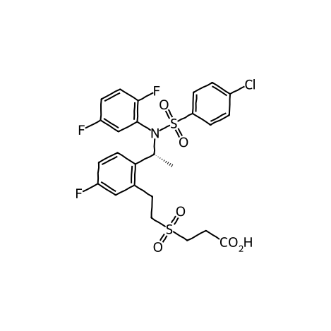 C[C@H](c1ccc(F)cc1CCS(=O)(=O)CCC(=O)O)N(c1cc(F)ccc1F)S(=O)(=O)c1ccc(Cl)cc1